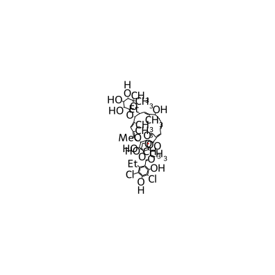 CCc1c(Cl)c(O)c(Cl)c(O)c1C(=O)O[C@H]1[C@H](O)[C@H](OC)[C@H](OC/C2=C\C=C\C[C@H](O)/C(C)=C/[C@H](CC)[C@@H](O[C@@H]3OC(C)(C)[C@@H](O)[C@H](O)[C@@H]3O)/C(C)=C/C(C)=C/C[C@@H]([C@@H](C)O)OC2=O)O[C@@H]1C